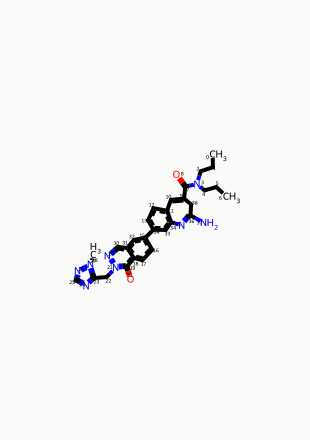 CCCN(CCC)C(=O)C1=Cc2ccc(-c3ccc4c(=O)n(Cc5ncnn5C)ncc4c3)cc2N=C(N)C1